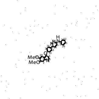 COc1cc2nccc(Oc3ccc(-c4ccc(Nc5ccccc5)nn4)cc3)c2cc1OC